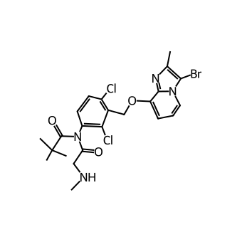 CNCC(=O)N(C(=O)C(C)(C)C)c1ccc(Cl)c(COc2cccn3c(Br)c(C)nc23)c1Cl